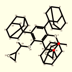 CC(Oc1c(C23CC4CC(CC(C4)C2)C3)cc(C23CC4CC(CC(C4)C2)C3)c(OC(C)C2CO2)c1C12CC3CC(CC(C3)C1)C2)C1CO1